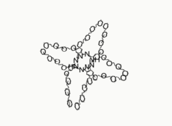 COCCOCCOCCOc1cc2c(cc1OCCOCCOCCOC)-c1nc-2nc2[nH]c(nc3nc(nc4[nH]c(n1)c1cc(OCCOCCOCCOC)c(OCCOCCOCCOC)cc41)-c1cc(OCCOCCOCCOC)c(OCCOCCOCCOC)cc1-3)c1cc(OCCOCCOCCOC)c(OCCOCCOCCOC)cc21